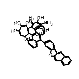 Bc1c(O)c(B)c(C2=C(c3c4c(c(-c5ccc6c(c5)oc5cc7ccccc7cc56)c5ccccc35)C=CC=CC4)C(O)C=C(O)C(O)=C2O)c(O)c1O